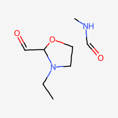 CCN1CCOC1C=O.CNC=O